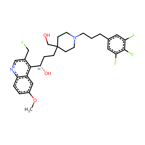 COc1ccc2ncc(CF)c([C@@H](O)CCC3(CO)CCN(CCCc4cc(F)c(F)c(F)c4)CC3)c2c1